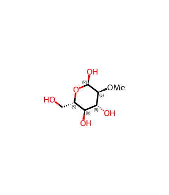 CO[C@H]1[C@H](O)[C@@H](O)[C@H](CO)O[C@H]1O